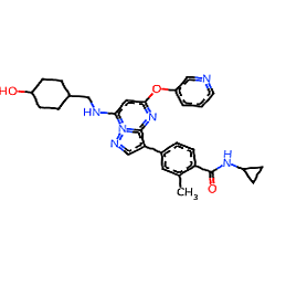 Cc1cc(-c2cnn3c(NCC4CCC(O)CC4)cc(Oc4cccnc4)nc23)ccc1C(=O)NC1CC1